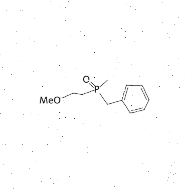 COCCP(C)(=O)Cc1ccccc1